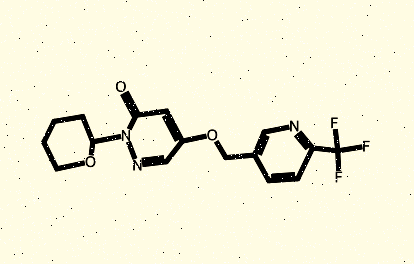 O=c1cc(OCc2ccc(C(F)(F)F)nc2)cnn1C1CCCCO1